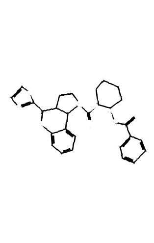 O=C(N[C@@H]1CCCC[C@@H]1C(=O)N1CCC2C(c3nccs3)Nc3ccccc3C21)c1ccccc1